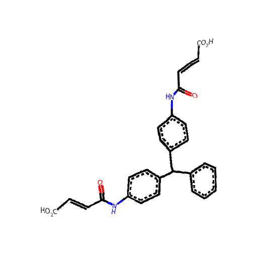 O=C(O)/C=C/C(=O)Nc1ccc(C(c2ccccc2)c2ccc(NC(=O)/C=C/C(=O)O)cc2)cc1